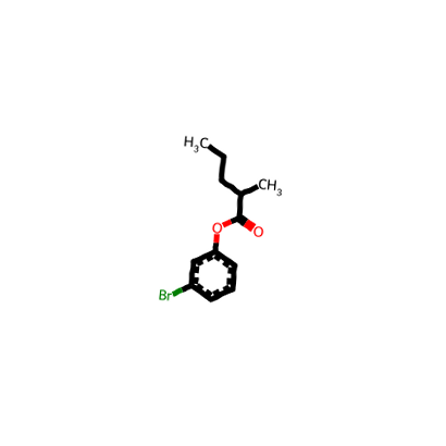 CCCC(C)C(=O)Oc1cccc(Br)c1